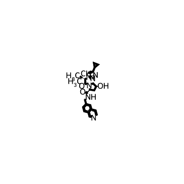 CC(C)(C)[C@@H](C(=O)N1C[C@H](O)C[C@H]1C(=O)NCc1ccc2cnccc2c1)n1cc(C2CC2)nn1